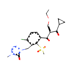 CCOC=C(C(=O)c1ccc(Cl)c(Cn2nnn(C)c2=O)c1S(C)(=O)=O)C(=O)C1CC1